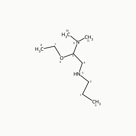 CCCNCC(OCC)N(C)C